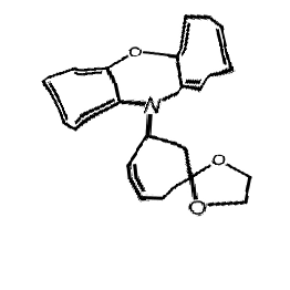 C1=CC(N2c3ccccc3Oc3ccccc32)CC2(C1)OCCO2